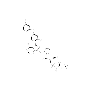 CC(C)(C=C(C#N)C(=O)N1CCC[C@H]1Cn1nc(-c2ccc(Oc3cccc(F)c3)cc2F)c2c(N)ncnc21)NC(=O)OC(C)(C)C